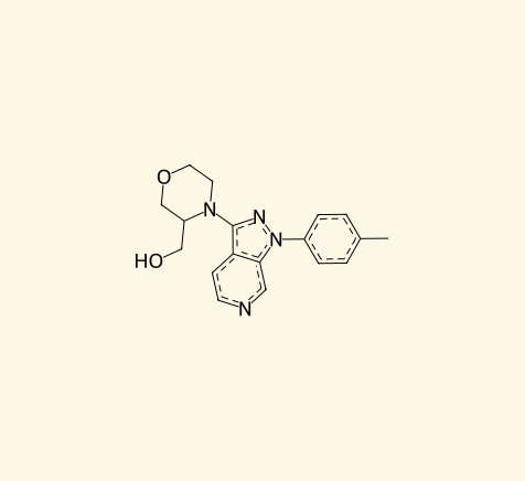 Cc1ccc(-n2nc(N3CCOCC3CO)c3ccncc32)cc1